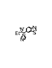 CCC(C(c1ccc2ncsc2c1)n1ccnc1)N(C)C